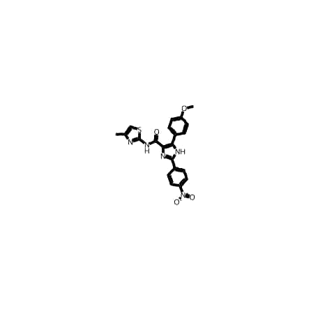 COc1ccc(-c2[nH]c(-c3ccc([N+](=O)[O-])cc3)nc2C(=O)Nc2nc(C)cs2)cc1